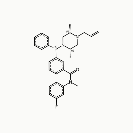 C=CCN1C[C@H](C)N([C@@H](c2ccccc2)c2cccc(C(=O)N(C)c3cccc(F)c3)c2)C[C@H]1C